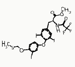 COC(=O)[C@H](Cc1cc(I)c(Oc2ccc(OCSC)c(I)c2)c(I)c1)NC(=O)C(F)(F)F